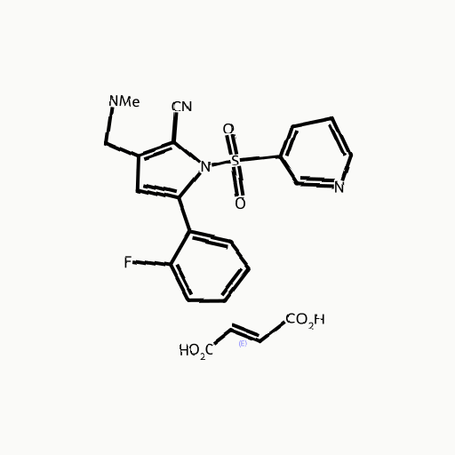 CNCc1cc(-c2ccccc2F)n(S(=O)(=O)c2cccnc2)c1C#N.O=C(O)/C=C/C(=O)O